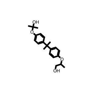 CC(CO)Oc1ccc(C(C)(C)c2ccc(OC(C)(C)O)cc2)cc1